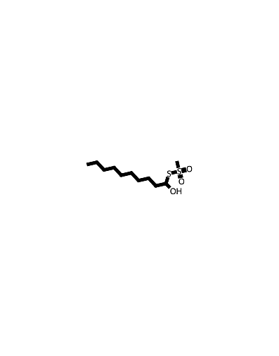 CCCCCCCCCC(O)SS(C)(=O)=O